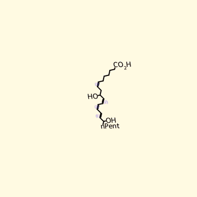 CCCCCC(O)/C=C/C=C\C=C/C(O)C/C=C\CCCCCC(=O)O